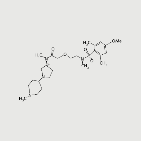 COc1cc(C)c(S(=O)(=O)N(C)CCOCC(=O)N(C)[C@H]2CCN(C3CCN(C)CC3)C2)c(C)c1